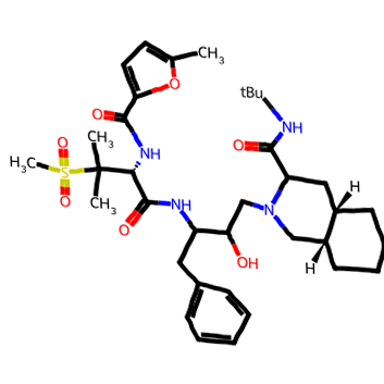 Cc1ccc(C(=O)N[C@H](C(=O)NC(Cc2ccccc2)C(O)CN2C[C@H]3CCCC[C@H]3CC2C(=O)NC(C)(C)C)C(C)(C)S(C)(=O)=O)o1